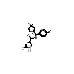 O=C1NCC(C(=O)N[C@H](c2ccc(Cl)cc2)[C@@H]2CCC(F)(F)C2)O1